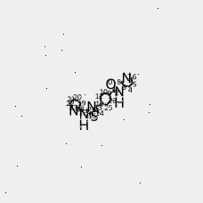 O=C(Nc1cccnc1)c1ccc(-c2csc(Nc3ccccn3)n2)cc1